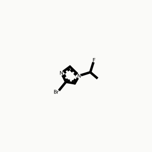 CC(F)n1cnc(Br)c1